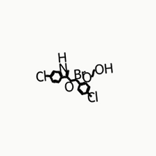 O=C(c1c[nH]c2cc(Cl)ccc12)C(Br)c1ccc(Cl)cc1OCCO